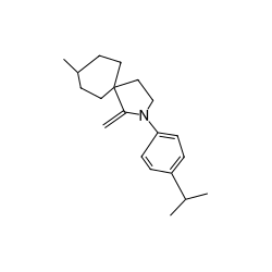 C=C1N(c2ccc(C(C)C)cc2)CCC12CCC(C)CC2